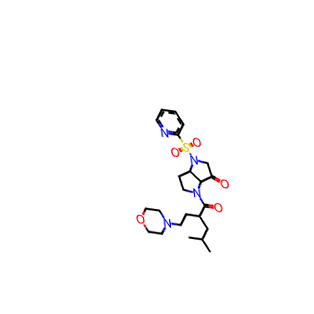 CC(C)CC(CCN1CCOCC1)C(=O)N1CCC2C1C(=O)CN2S(=O)(=O)c1ccccn1